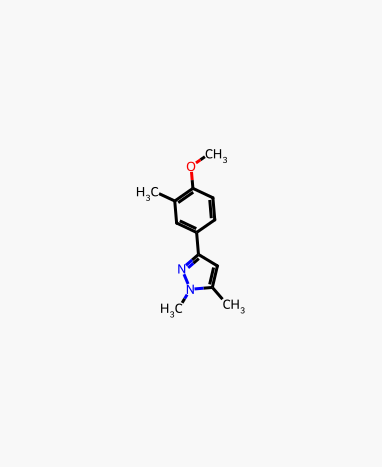 COc1ccc(-c2cc(C)n(C)n2)cc1C